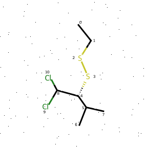 CCSS[C@H](C(C)C)C(Cl)Cl